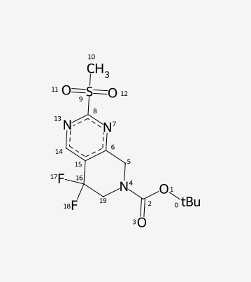 CC(C)(C)OC(=O)N1Cc2nc(S(C)(=O)=O)ncc2C(F)(F)C1